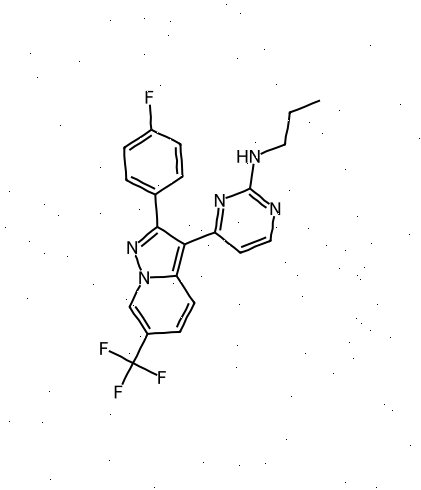 CCCNc1nccc(-c2c(-c3ccc(F)cc3)nn3cc(C(F)(F)F)ccc23)n1